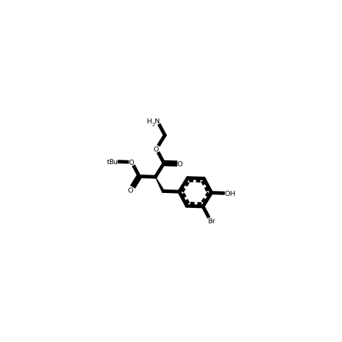 CC(C)(C)OC(=O)[C@H](Cc1ccc(O)c(Br)c1)C(=O)OCN